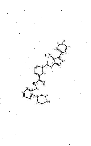 Cn1c(CNc2cccc(C(=O)NCc3ccccc3N3CCNCC3)c2)nnc1-c1ccncn1